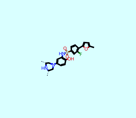 Cc1ccc(-c2ccc(S(=O)(=O)Nc3cc(N4C[C@@H](C)N[C@@H](C)C4)ccc3O)cc2F)o1